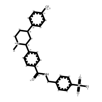 CCS(=O)(=O)c1ccc(CNC(=O)c2ccc(C3CC(c4ccc(C(F)(F)F)cc4)CCN3C)cc2)cc1